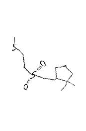 CSCCS(=O)(=O)CC1CCCC1(C)C